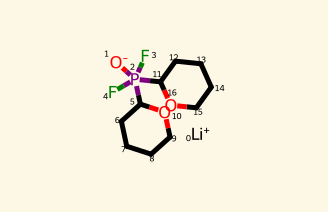 [Li+].[O-]P(F)(F)(C1CCCCO1)C1CCCCO1